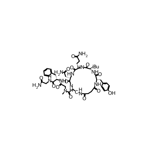 CC[C@H](C)[C@@H]1NC(=O)[C@H](Cc2ccc(O)cc2)NC(=O)CCC(=O)NC[C@@H](C(=O)N(C)CC(=O)N[C@@H](Cc2ccccc2)C(=O)NCC(N)=O)NC(=O)[C@H](CC(N)=O)NC(=O)[C@H](CCC(N)=O)NC1=O